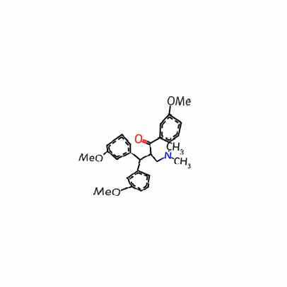 COc1cccc(C(=O)C(CN(C)C)C(c2cccc(OC)c2)c2cccc(OC)c2)c1